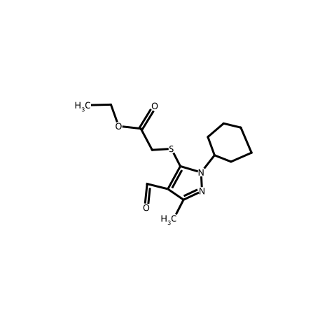 CCOC(=O)CSc1c(C=O)c(C)nn1C1CCCCC1